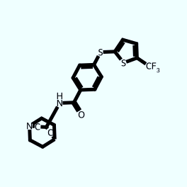 O=C(NC1CC2CCN(CC2)C1)c1ccc(Sc2ccc(C(F)(F)F)s2)cc1